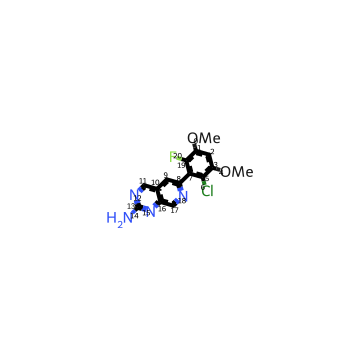 COc1cc(OC)c(Cl)c(-c2cc3cnc(N)nc3cn2)c1F